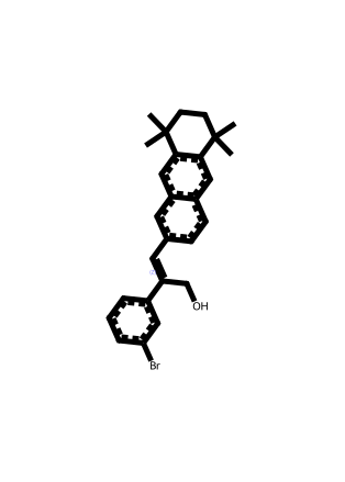 CC1(C)CCC(C)(C)c2cc3cc(/C=C(\CO)c4cccc(Br)c4)ccc3cc21